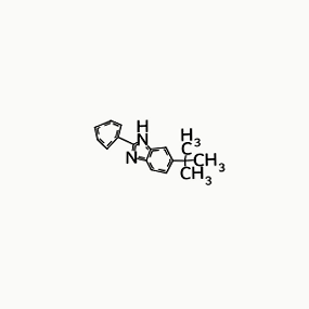 CC(C)(C)c1ccc2nc(-c3ccccc3)[nH]c2c1